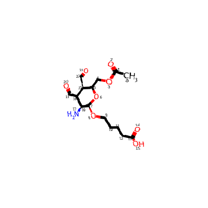 CC(=O)OCC1O[C@@H](OCCCCC(=O)O)[C@@H](N)C(C=O)[C@H]1C=O